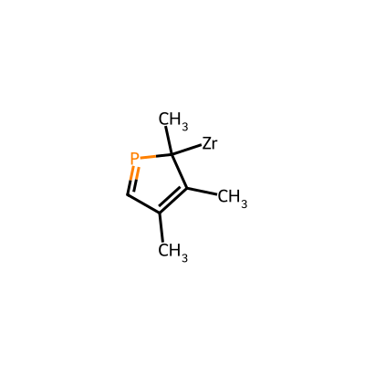 CC1=C(C)[C](C)([Zr])P=C1